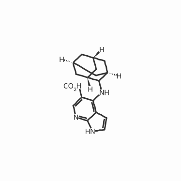 O=C(O)c1cnc2[nH]ccc2c1NC1[C@H]2C[C@@H]3C[C@@H](C[C@H]1C3)C2